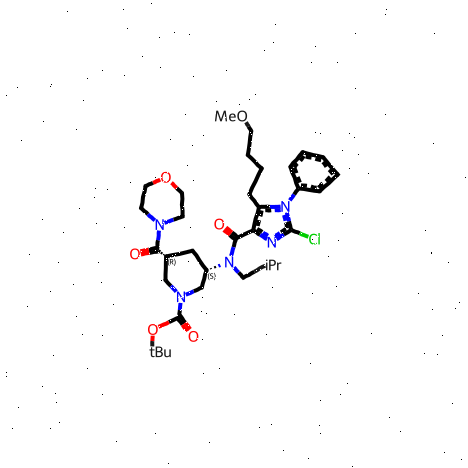 COCCCCc1c(C(=O)N(CC(C)C)[C@H]2C[C@@H](C(=O)N3CCOCC3)CN(C(=O)OC(C)(C)C)C2)nc(Cl)n1-c1ccccc1